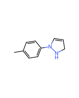 Cc1ccc(N2C=CCN2)cc1